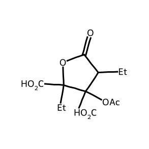 CCC1C(=O)OC(CC)(C(=O)O)C1(OC(C)=O)C(=O)O